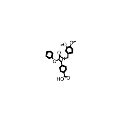 COc1ccc(CN2C(=O)C(Oc3ccccc3)C2c2ccc(C(=O)O)cc2)cc1OC